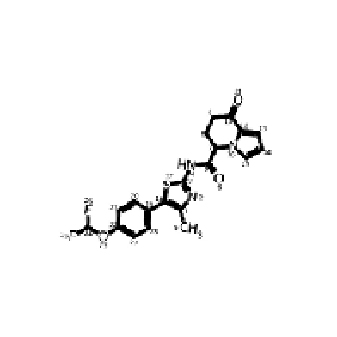 Cc1nc(NC(=O)C2CCC(=O)c3cccn32)sc1-c1ccc(OC(F)F)cc1